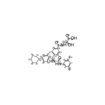 O=C(Nc1cc(F)cc(F)c1)NC(c1ccc(C(=O)NC[C@@H](O)C(=O)O)cc1)c1ccc(C2CCCCC2)cc1